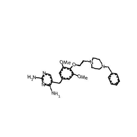 COc1cc(Cc2cnc(N)nc2N)cc(OC)c1OCCN1CCN(Cc2ccccc2)CC1